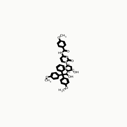 COc1ccc(C(=O)Nc2ccn([C@H]3C[C@H](O)[C@@H](C(O)C(c4ccccc4)(c4ccc(OC)cc4)c4ccc(OC)cc4)O3)c(=O)n2)cc1